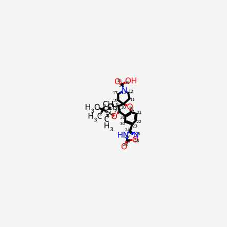 CC(C)(C)[Si](C)(C)OC1CC2(CCN(C(=O)O)CC2)Oc2ccc(-c3noc(=O)[nH]3)cc21